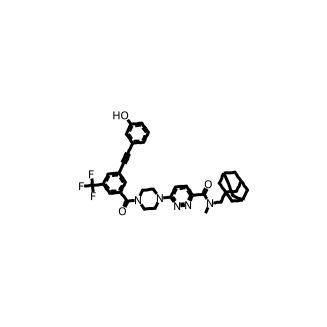 CN(CC12CC3CC(CC(C3)C1)C2)C(=O)c1ccc(N2CCN(C(=O)c3cc(C#Cc4cccc(O)c4)cc(C(F)(F)F)c3)CC2)nn1